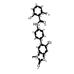 CCc1cc2oc(=O)n(C)c2cc1-c1ccc(NC(=O)c2c(F)cccc2F)cc1